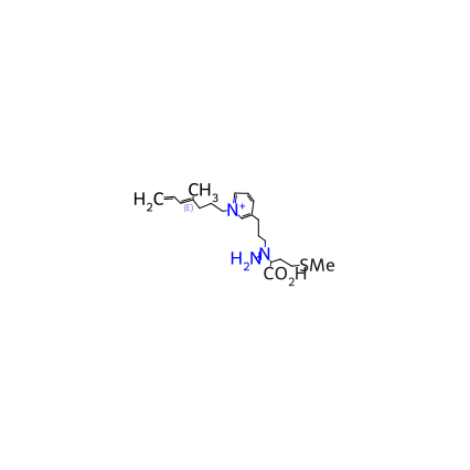 C=C/C=C(\C)CCC[n+]1cccc(CCCN(N)C(CCSC)C(=O)O)c1